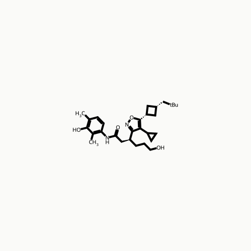 Cc1ccc(NC(=O)C[C@H](CCCO)c2noc([C@H]3C[C@@H](CC(C)(C)C)C3)c2C2CC2)c(C)c1O